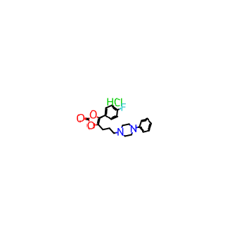 Cl.O=c1oc(CCCN2CCN(c3ccccc3)CC2)c(-c2ccc(F)cc2)o1